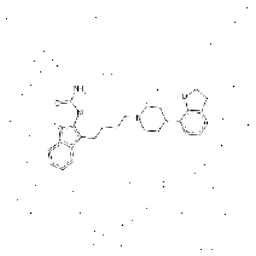 NC(=O)Nc1oc2ccccc2c1CCCCN1CCN(c2cccc3c2OCC3)CC1